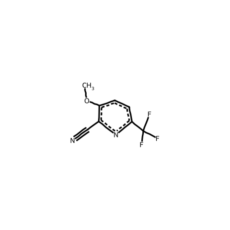 COc1ccc(C(F)(F)F)nc1C#N